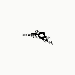 CC(C)(CNC=O)c1ccc2[nH]c(N)nc2c1